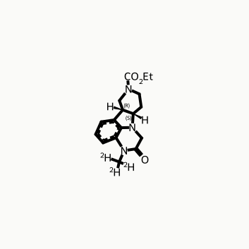 [2H]C([2H])([2H])N1C(=O)CN2c3c(cccc31)[C@@H]1CN(C(=O)OCC)CC[C@@H]12